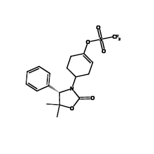 CC1(C)OC(=O)N(C2CC=C(OS(=O)(=O)C(F)(F)F)CC2)[C@H]1c1ccccc1